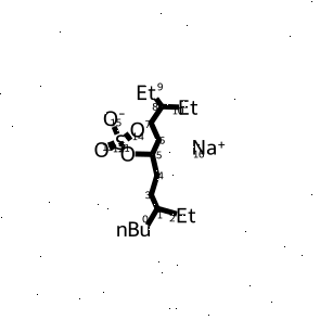 CCCCC(CC)CCC(CCC(CC)CC)OS(=O)(=O)[O-].[Na+]